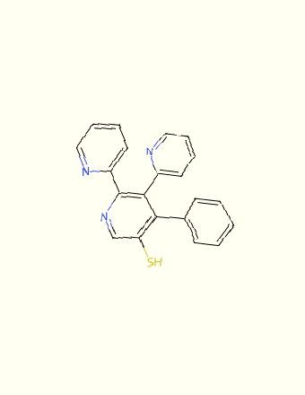 Sc1cnc(-c2ccccn2)c(-c2ccccn2)c1-c1ccccc1